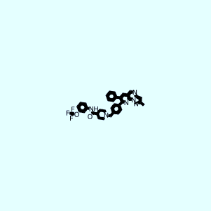 Cc1cc2ncc3cc(-c4ccccc4)c(-c4ccc(CN5CCC(C(=O)Nc6cccc(OC(F)(F)F)c6)CC5)cc4)nc3n2n1